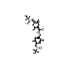 Cc1nc(COC(=O)c2nc(C)c(/C=[N+](\O)C(C)(C)C)nc2C)c(C)nc1/C=[N+](\O)C(C)(C)C